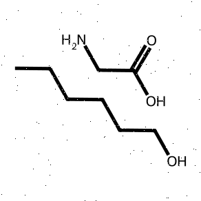 CCCCCCO.NCC(=O)O